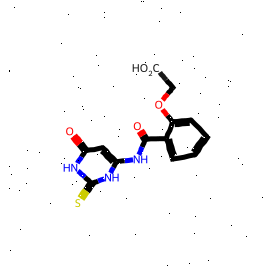 O=C(O)COc1ccccc1C(=O)Nc1cc(=O)[nH]c(=S)[nH]1